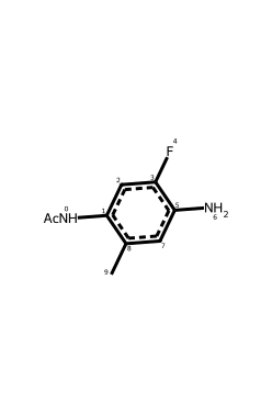 CC(=O)Nc1cc(F)c(N)cc1C